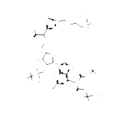 CC(=O)C(OC[C@H]1O[C@@H](n2cnc3c(N(C(=O)OC(C)(C)C)C(=O)OC(C)(C)C)nc(Cl)nc32)[C@H](O[Si](C)(C)C(C)(C)C)[C@H]1C)c1nnn(COCC[Si](C)(C)C)n1